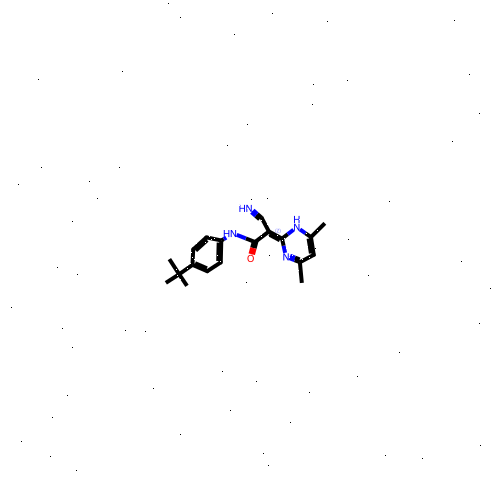 CC1=CC(C)=N/C(=C(/C=N)C(=O)Nc2ccc(C(C)(C)C)cc2)N1